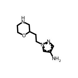 Nc1cnn(CCC2CNCCO2)c1